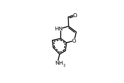 Nc1ccc2c(c1)OC=C(C=O)N2